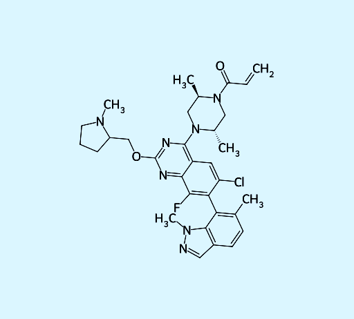 C=CC(=O)N1C[C@H](C)N(c2nc(OCC3CCCN3C)nc3c(F)c(-c4c(C)ccc5cnn(C)c45)c(Cl)cc23)C[C@H]1C